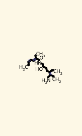 C=C/C=C\C=C(/CC)C(=O)NCC(O)CC/C(C=C)=C(/C=C)CN